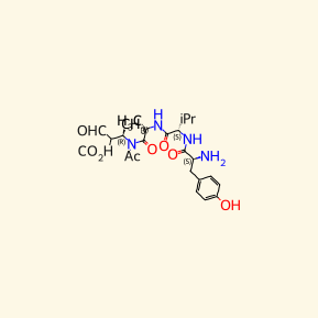 CC(=O)N(C(=O)[C@H](C)NC(=O)[C@@H](NC(=O)[C@@H](N)Cc1ccc(O)cc1)C(C)C)[C@H](C)C(C=O)C(=O)O